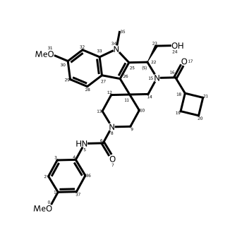 COc1ccc(NC(=O)N2CCC3(CC2)CN(C(=O)C2CCC2)[C@H](CO)c2c3c3ccc(OC)cc3n2C)cc1